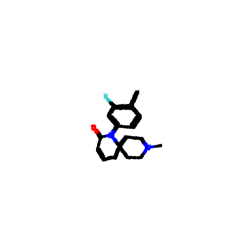 Cc1ccc(N2C(=O)C=CCC23CCN(C)CC3)cc1F